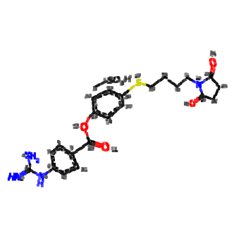 CS(=O)(=O)O.N=C(N)Nc1ccc(C(=O)Oc2ccc(SCCCCN3C(=O)CCC3=O)cc2)cc1